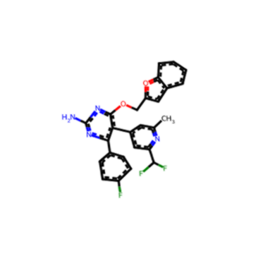 Cc1cc(-c2c(OCc3cc4ccccc4o3)nc(N)nc2-c2ccc(F)cc2)cc(C(F)F)n1